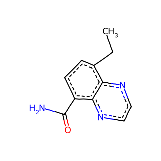 CCc1ccc(C(N)=O)c2nccnc12